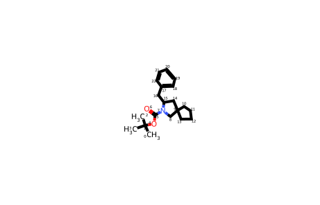 CC(C)(C)OC(=O)N1CC2(CCCC2)CC1Cc1ccccc1